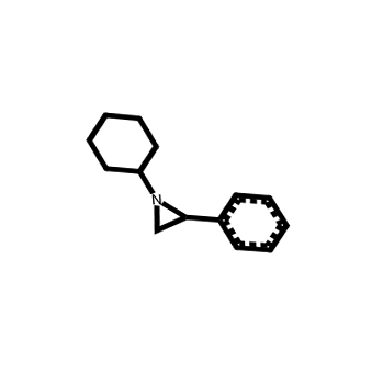 c1ccc(C2CN2C2CCCCC2)cc1